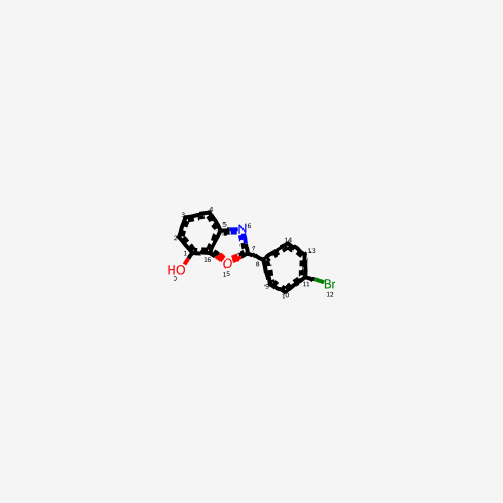 Oc1cccc2nc(-c3ccc(Br)cc3)oc12